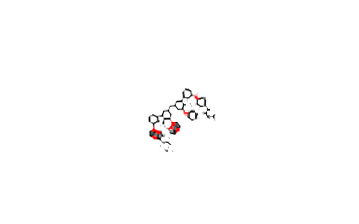 Cc1cc(C)c2c(c1)c1cc(Cc3cc(-c4ccccc4)c4c(c3)c3cccc(-c5ccccc5)c3n4B3c4ccccc4-n4c5cncnc5c5cccc3c54)cc(C)c1n2B1c2ccccc2-n2c3cncnc3c3cccc1c32